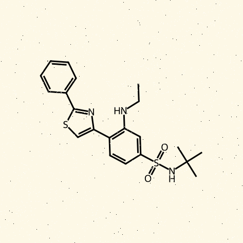 CCNc1cc(S(=O)(=O)NC(C)(C)C)ccc1-c1csc(-c2cc[c]cc2)n1